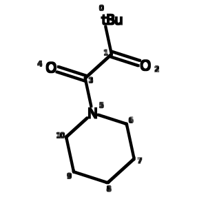 CC(C)(C)C(=O)C(=O)N1CCCCC1